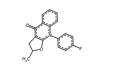 CC1Cc2c(n(-c3ccc(F)cc3)c3ccccc3c2=O)O1